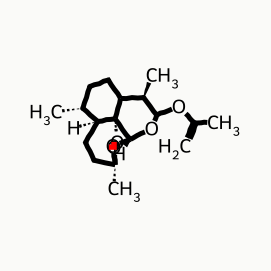 C=C(C)OC1O[C@@H]2O[C@]3(C)CC[C@H]4[C@H](C)CCC([C@H]1C)[C@@]24OO3